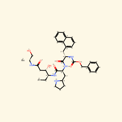 CC[C@H](C)[C@@H](CO)NC(=O)C[C@H](O)[C@H](CC(C)C)NC(=O)[C@H](CC1CCCN1)NC(=O)[C@H](Cc1cccc2ccccc12)NC(=O)OCc1ccccc1